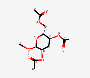 CO[C@H]1O[C@H](COC(C)=O)[C@@H](OC(C)=O)C[C@H]1OC(C)=O